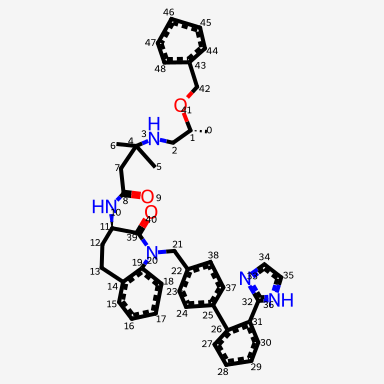 C[C@H](CNC(C)(C)CC(=O)N[C@@H]1CCc2ccccc2N(Cc2ccc(-c3ccccc3-c3ncc[nH]3)cc2)C1=O)OCc1ccccc1